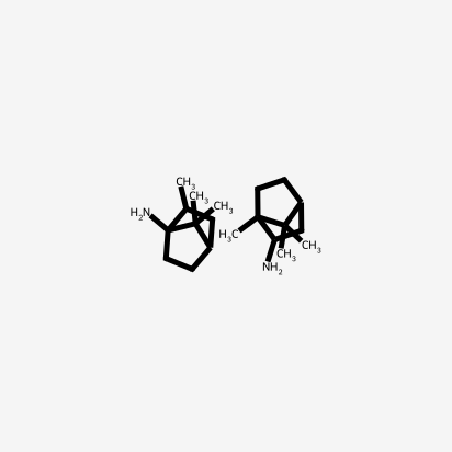 CC1(C)C2CCC1(C)C(N)C2.CC1CC2CCC1(N)C2(C)C